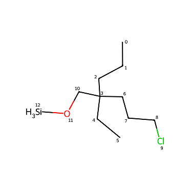 CCCC(CC)(CCCCl)CO[SiH3]